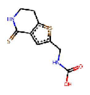 O=C(O)NCc1cc2c(s1)CCNC2=S